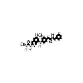 CCNC(=O)Nc1cc2cccc(Nc3ccc(CC(=O)NCc4ccccc4)cc3)c2cn1.Cl